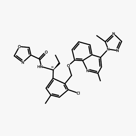 CC[C@H](NC(=O)c1cocn1)c1cc(C)cc(Cl)c1COc1cccc2c(-n3ncnc3C)cc(C)nc12